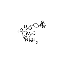 N[C@@H]1C(=O)N2C(C(=O)OCc3ccc([N+](=O)[O-])cc3)C(O)CS[C@H]12